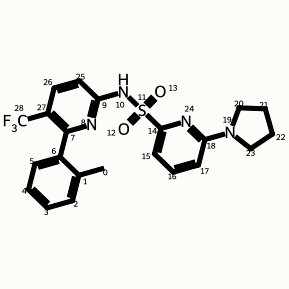 Cc1ccccc1-c1nc(NS(=O)(=O)c2cccc(N3CCCC3)n2)ccc1C(F)(F)F